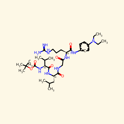 CCN(CC)c1ccc(NC(=O)[C@H](CCCNC(=N)N)NC(=O)CNC(=O)[C@H](CC(C)C)NC(=O)[C@@H](NC(=O)OC(C)(C)C)C(C)C)cc1